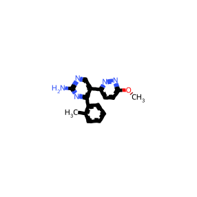 COc1ccc(-c2cnc(N)nc2-c2ccccc2C)nn1